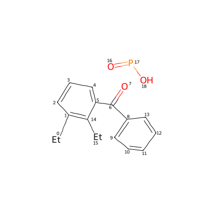 CCc1cccc(C(=O)c2ccccc2)c1CC.O=PO